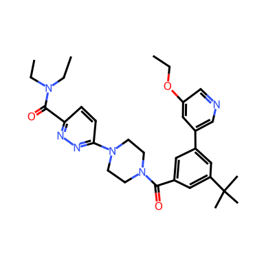 CCOc1cncc(-c2cc(C(=O)N3CCN(c4ccc(C(=O)N(CC)CC)nn4)CC3)cc(C(C)(C)C)c2)c1